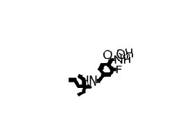 C=CCC(CC)(CC)CNCc1ccc(C(=O)NO)c(F)c1